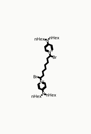 CCCCCCN(CCCCCC)c1cc[n+](C(Br)CCCCCCC(Br)[n+]2ccc(N(CCCCCC)CCCCCC)cc2)cc1